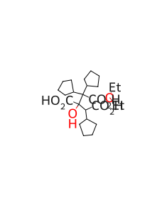 CCOCC.O=C(O)C(C1CCCC1)C(O)(C(=O)O)C(C(=O)O)(C1CCCC1)C1CCCC1